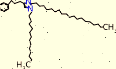 CCCCCCCCCCCCCCCCCCCc1nc(CCCc2ccccc2)cn1CCCCCCCCCCCCCC